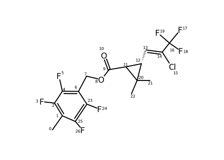 Cc1c(F)c(F)c(COC(=O)C2[C@H](C=C(Cl)C(F)(F)F)C2(C)C)c(F)c1F